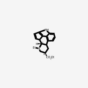 CCOC(=O)[C@@H]1CC2c3cccc4[nH]c5c(c34)C(C=C5)[C@H]2N(CC)C1